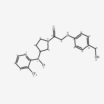 CCN(c1ncccc1C(F)(F)F)C1CCN(C(=O)COc2ccc(CO)cc2)C1